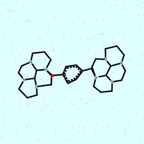 c1cc(C[N+]23CCCN4CCN5CCCN(CC2)C5C43)ccc1C[N+]12CCCN3CCN4CCCN(CC1)C4C32